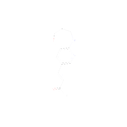 CC(=O)/C=C/c1cnc2c(c1)OCCCN2